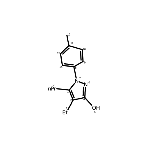 CCCc1c(CC)c(O)nn1-c1ccc(C)cc1